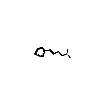 CN(C)CCC=Cc1ccccc1